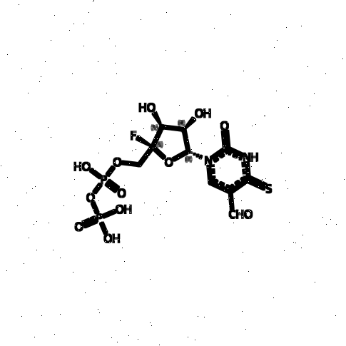 O=Cc1cn([C@@H]2O[C@](F)(COP(=O)(O)OP(=O)(O)O)[C@@H](O)[C@H]2O)c(=O)[nH]c1=S